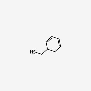 SCC1C=CC=CC1